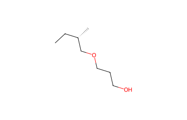 CC[C@H](C)COCCCO